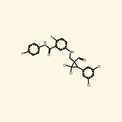 O=CC1(CNc2ccc(F)c(C(=O)Nc3ccc(F)cc3)c2)C(c2cc(Cl)cc(Cl)c2)C1(Cl)Cl